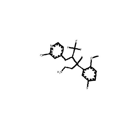 COc1ccc(F)cc1C(C)(CCN)C(Cc1ccnc(Cl)c1)C(F)(F)F